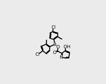 Cc1cc(Cl)ccc1B(OC(=O)c1ncccc1O)c1ccc(Cl)cc1C